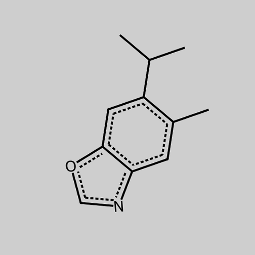 Cc1cc2ncoc2cc1C(C)C